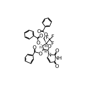 O=C(OC[C@@]1(C(F)(F)F)O[C@@H](n2ccc(=O)[nH]c2=O)[C@H](OC(=O)c2ccccc2)[C@@H]1OC(=O)c1ccccc1)c1ccccc1